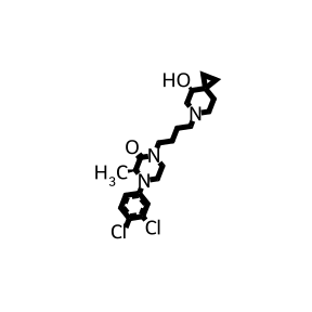 C[C@H]1C(=O)N(CCCCN2CCC3(CC3)[C@H](O)C2)CCN1c1ccc(Cl)c(Cl)c1